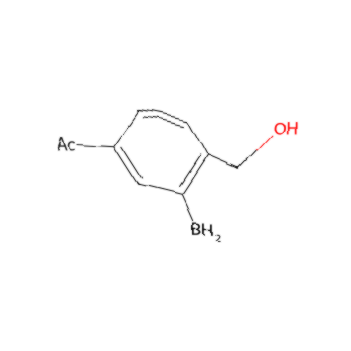 Bc1cc(C(C)=O)ccc1CO